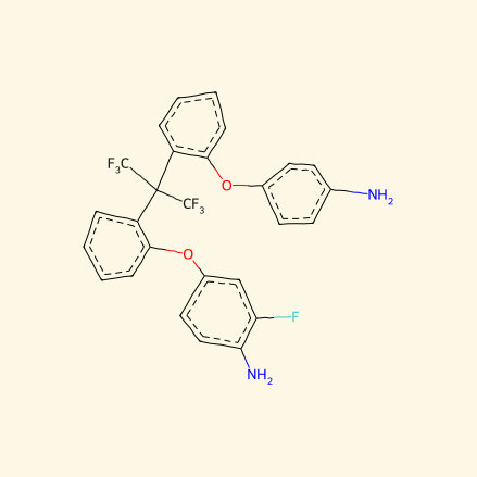 Nc1ccc(Oc2ccccc2C(c2ccccc2Oc2ccc(N)c(F)c2)(C(F)(F)F)C(F)(F)F)cc1